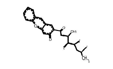 CC(I)CC(I)C(I)C(O)CC(=O)c1cc2cc3ccccc3oc-2cc1=O